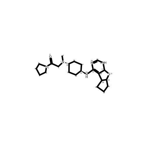 CN(CC(=O)N1CCCC1)[C@H]1CC[C@H](NC2=C3C(NC=N2)SC2CCCC32)CC1